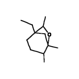 CCC12CCC(C)C(C)(C1)OC2C